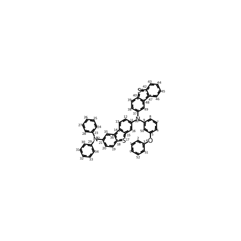 c1ccc(Oc2cccc(N(c3ccc4c(c3)sc3ccc(N(c5ccccc5)c5ccccc5)cc34)c3ccc4sc5ccccc5c4c3)c2)cc1